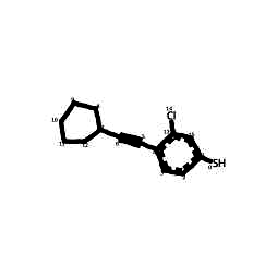 Sc1ccc(C#CC2CCCCC2)c(Cl)c1